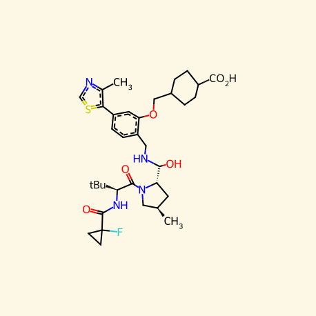 Cc1ncsc1-c1ccc(CNC(O)[C@@H]2C[C@@H](C)CN2C(=O)[C@@H](NC(=O)C2(F)CC2)C(C)(C)C)c(OCC2CCC(C(=O)O)CC2)c1